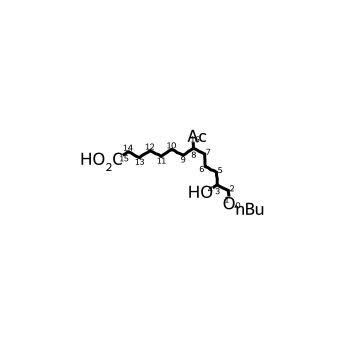 CCCCOCC(O)CCCC(CCCCCCC(=O)O)C(C)=O